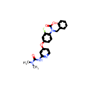 CN(C)C(=O)Nc1cc(Oc2ccc(N(Cc3ccccc3)C(=O)O)c(F)c2)ccn1